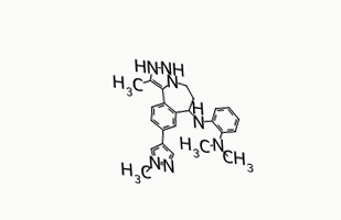 CC1=C2c3ccc(-c4cnn(C)c4)cc3C(Nc3ccccc3N(C)C)CCN2NN1